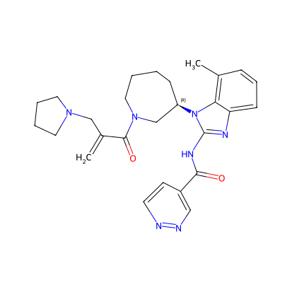 C=C(CN1CCCC1)C(=O)N1CCCC[C@@H](n2c(NC(=O)c3ccnnc3)nc3cccc(C)c32)C1